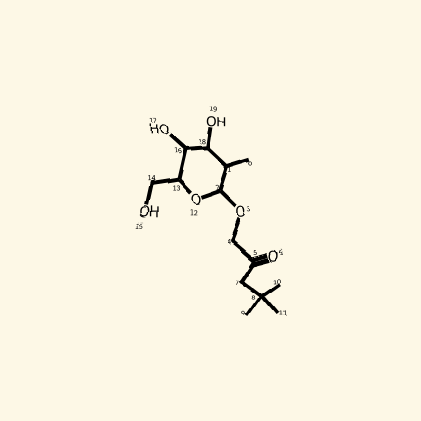 CC1C(OCC(=O)CC(C)(C)C)OC(CO)C(O)C1O